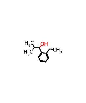 CCc1ccccc1C(O)C(C)C